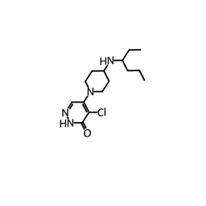 CCCC(CC)NC1CCN(c2cn[nH]c(=O)c2Cl)CC1